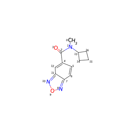 CN(C(=O)c1ccc2nonc2c1)C1CCC1